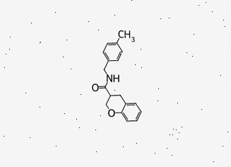 Cc1ccc(CNC(=O)C2COc3ccccc3C2)cc1